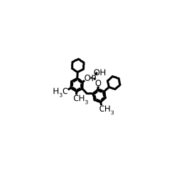 Cc1cc2c(c(C3CCCCC3)c1)OP(O)Oc1c(C3CCCCC3)cc(C)c(C)c1C2